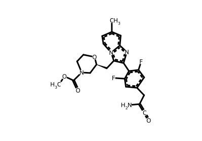 COC(=O)N1CCO[C@@H](Cc2c(-c3c(F)cc(CC(N)=C=O)cc3F)nc3cc(C)ccn23)C1